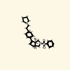 O=S(=O)(c1ccccc1)N1C[C@H]2CC=C(c3ccc(CCN4CCCC4)cc3)[C@H]2C1